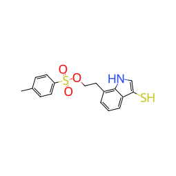 Cc1ccc(S(=O)(=O)OCCc2cccc3c(S)c[nH]c23)cc1